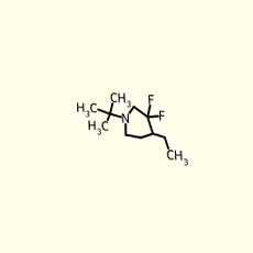 CCC1CCN(C(C)(C)C)CC1(F)F